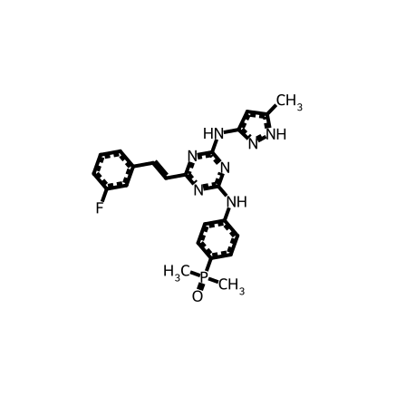 Cc1cc(Nc2nc(/C=C/c3cccc(F)c3)nc(Nc3ccc(P(C)(C)=O)cc3)n2)n[nH]1